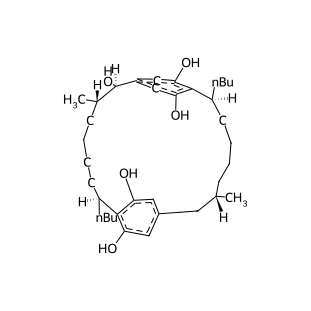 CCCC[C@H]1CCCC[C@H](C)Cc2cc(O)c(c(O)c2)[C@@H](CCCC)CCCC[C@H](C)[C@@H](O)c2cc(O)c1c(O)c2